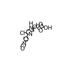 O[C@@H]1CO[C@H]2C1OC[C@H]2Oc1cc2nc(-c3ccc(N4CCOCC4)cc3)c(Cl)cc2[nH]1